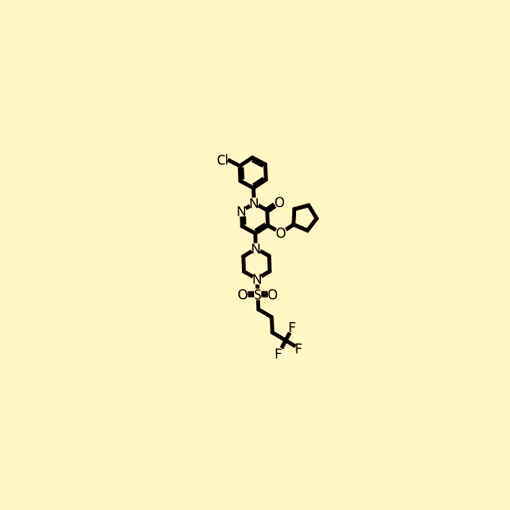 O=c1c(OC2CCCC2)c(N2CCN(S(=O)(=O)CCCC(F)(F)F)CC2)cnn1-c1cccc(Cl)c1